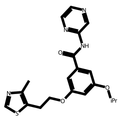 Cc1ncsc1CCOc1cc(OC(C)C)cc(C(=O)Nc2cnccn2)c1